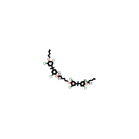 C=CCCCOc1c(Cl)cc(C(C)(C)c2cc(Cl)c(OC(CC)(CC)CCCCCOc3c(Cl)cc(C(C)(C)c4cc(Cl)c(OC(CC)(CC)CCC=C)c(Cl)c4)cc3Cl)c(Cl)c2)cc1Cl